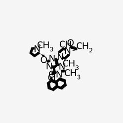 C=CC(=O)N1C[C@H](C)N(c2nc(OC[C@@H]3CCCN3C)nc3c(=O)n(-c4cccc5cccc(Cl)c45)c(C)nc23)C[C@@H]1C